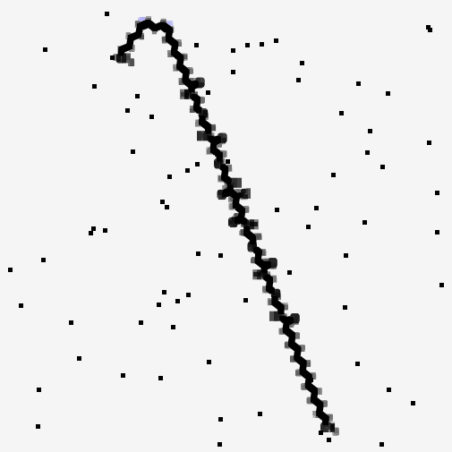 CCCCC/C=C\C/C=C\CCCCCCCC(=O)NCCOCCNC(=O)CCOCCNC(=O)[C@@H](Cl)CCC(=O)NCCOCCC(=O)NCCOCCNC(=O)CCCCCCCCCCCCCCC